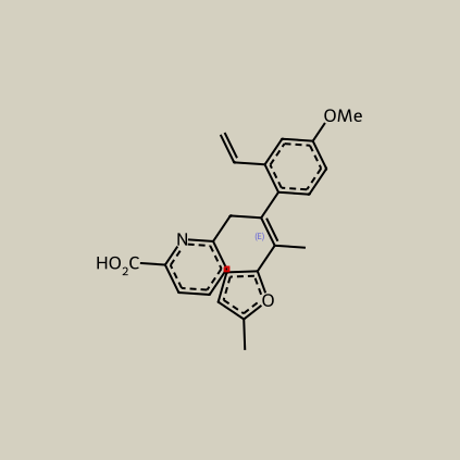 C=Cc1cc(OC)ccc1/C(Cc1cccc(C(=O)O)n1)=C(\C)c1ccc(C)o1